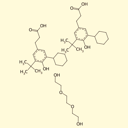 CC(C)(C)c1cc(CCC(=O)O)cc(C2CCCCC2)c1O.CC(C)(C)c1cc(CCC(=O)O)cc(C2CCCCC2)c1O.OCCOCCOCCO